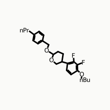 CCCCOc1ccc(C2CCC(OCc3ccc(CCC)cc3)OC2)c(F)c1F